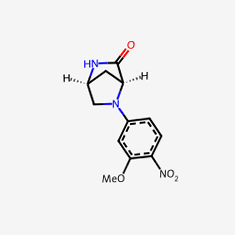 COc1cc(N2C[C@@H]3C[C@H]2C(=O)N3)ccc1[N+](=O)[O-]